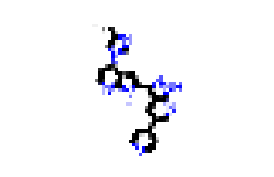 Cc1cn(-c2ccnc3[nH]c(-c4n[nH]c5ncc(-c6ccncc6)cc45)cc23)cn1